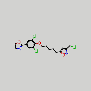 ClCc1cc(CCCCCOc2c(Cl)cc(C3=NCCO3)cc2Cl)on1